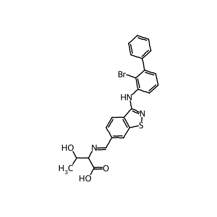 CC(O)C(N=Cc1ccc2c(Nc3cccc(-c4ccccc4)c3Br)nsc2c1)C(=O)O